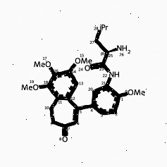 COc1ccc(C2=CC(=O)CCc3c2cc(OC)c(OC)c3OC)cc1NC(=O)[C@H](N)CC(C)C